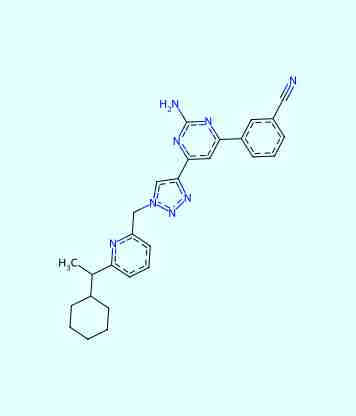 CC(c1cccc(Cn2cc(-c3cc(-c4cccc(C#N)c4)nc(N)n3)nn2)n1)C1CCCCC1